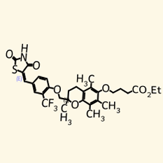 CCOC(=O)CCCOc1c(C)c(C)c2c(c1C)CC[C@@](C)(COc1ccc(/C=C3/SC(=O)NC3=O)cc1C(F)(F)F)O2